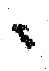 CC(C)(C)OC(=O)N1CCC(c2cccc3c2OCCN3[C@@H]2CCC(=O)NC2=O)CC1